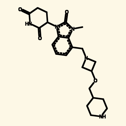 Cn1c(=O)n(C2CCC(=O)NC2=O)c2cccc(CN3CC(OCC4CCNCC4)C3)c21